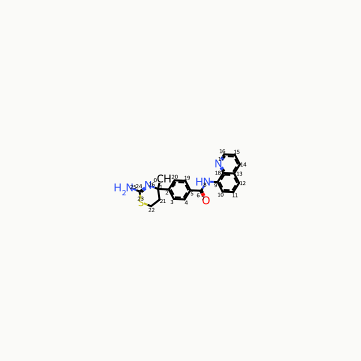 CC1(c2ccc(C(=O)Nc3cccc4cccnc34)cc2)CCSC(N)=N1